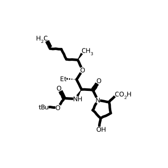 C=CCC[C@@H](C)O[C@@H](CC)[C@H](NC(=O)OC(C)(C)C)C(=O)N1CC(O)CC1C(=O)O